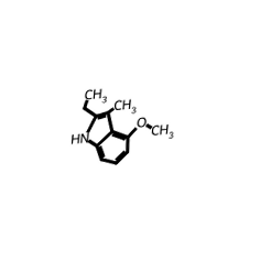 CCc1[nH]c2cccc(OC)c2c1C